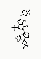 Cn1cnnc1C1(c2cccc(-n3cc(C(F)(F)F)c4nc(CN5CCC(F)(F)C5)[nH]c4c3=O)c2)CC(F)(F)C1